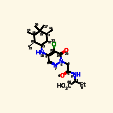 CCC(NC(=O)Cn1ncc(N[C@@H]2C[C@H](C)C(C)(C)[C@H](C)[C@H]2C)c(Cl)c1=O)C(=O)O